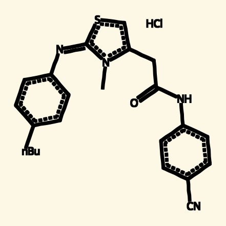 CCCCc1ccc(N=c2scc(CC(=O)Nc3ccc(C#N)cc3)n2C)cc1.Cl